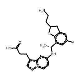 C[C@@H](Nc1ccn2ncc(CCC(=O)O)c2n1)c1cc(F)cc2c1OC(CCN)C2